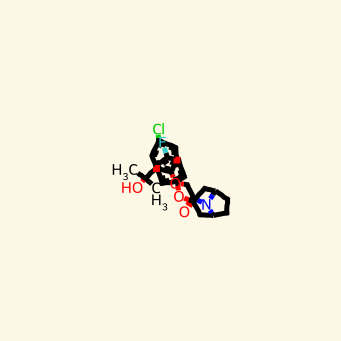 CC(C)(O)c1cc(Cl)ccc1OCC(=O)N1C2CCC1CC(Oc1ccc(F)cc1)C2